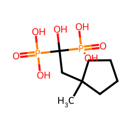 CC1(CC(O)(P(=O)(O)O)P(=O)(O)O)CCCC1